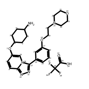 NC1CCC(Oc2ccc3nnc(-c4cccc(OCCN5CCOCC5)c4)n3c2)CC1.O=C(O)C(F)(F)F